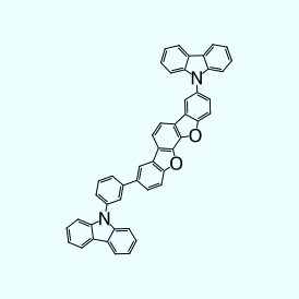 c1cc(-c2ccc3oc4c(ccc5c6cc(-n7c8ccccc8c8ccccc87)ccc6oc54)c3c2)cc(-n2c3ccccc3c3ccccc32)c1